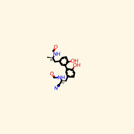 C[C@H](Cc1ccc(O)c(-c2cc(C[C@@H](C#N)NC=O)ccc2O)c1)NC=O